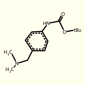 CN(C)Cc1ccc(NC(=O)OC(C)(C)C)cc1